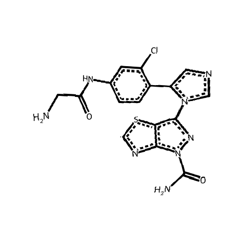 NCC(=O)Nc1ccc(-c2cncn2-c2nn(C(N)=O)c3n[c]sc23)c(Cl)c1